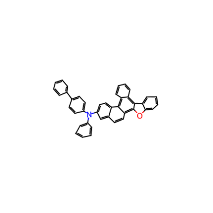 c1ccc(-c2ccc(N(c3ccccc3)c3ccc4c(ccc5c6oc7ccccc7c6c6ccccc6c45)c3)cc2)cc1